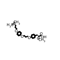 CO[C@@H](Cc1ccc(OCCCOc2ccc(OCCCN(C)C)cc2)cc1)C(=O)O